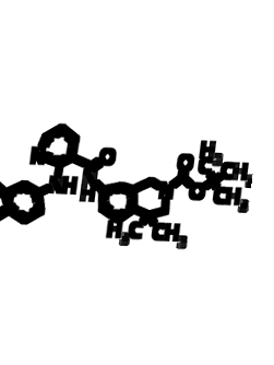 CC(C)(C)OC(=O)N1Cc2cc(NC(=O)c3cccnc3Nc3ccc4ccncc4c3)ccc2C(C)(C)C1